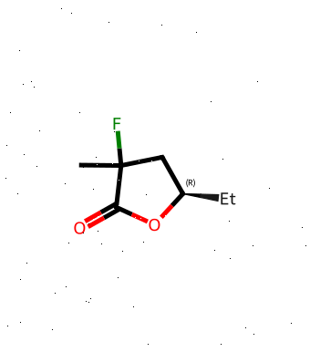 CC[C@@H]1CC(C)(F)C(=O)O1